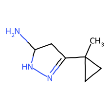 CC1(C2=NNC(N)C2)CC1